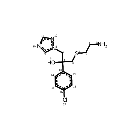 NCCSCC(O)(Cn1cncn1)c1ccc(Cl)cc1